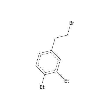 CCc1ccc(CCBr)cc1CC